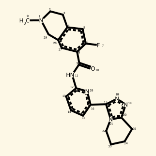 CN1CCc2cc(F)c(C(=O)Nc3cccc(-c4nnc5n4CCCC5)n3)cc2C1